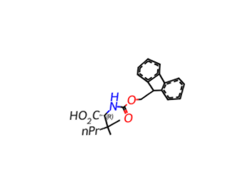 CCCC(C)(C)[C@@H](NC(=O)OCC1c2ccccc2-c2ccccc21)C(=O)O